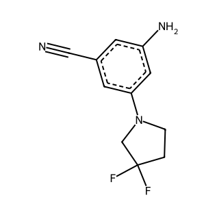 N#Cc1cc(N)cc(N2CCC(F)(F)C2)c1